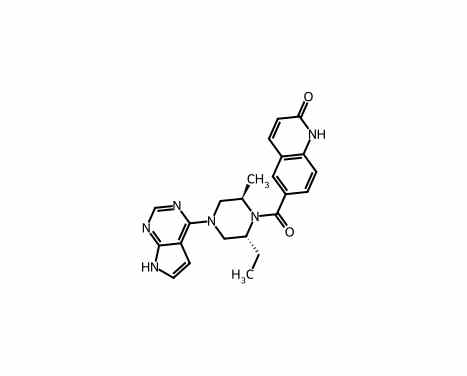 CC[C@@H]1CN(c2ncnc3[nH]ccc23)C[C@@H](C)N1C(=O)c1ccc2[nH]c(=O)ccc2c1